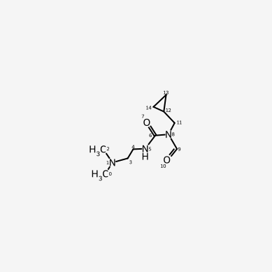 CN(C)CCNC(=O)N(C=O)CC1CC1